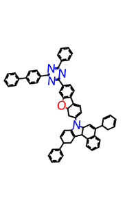 C1=CCC(C2=CC3C(C4=C(C=CC(c5ccccc5)C4)N3C3=CC=C4c5ccc(-c6nc(-c7ccccc7)nc(-c7ccc(-c8ccccc8)cc7)n6)cc5OC4C3)c3ccccc32)C=C1